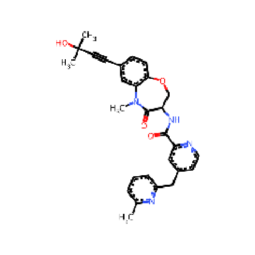 Cc1cccc(Cc2ccnc(C(=O)NC3COc4ccc(C#CC(C)(C)O)cc4N(C)C3=O)c2)n1